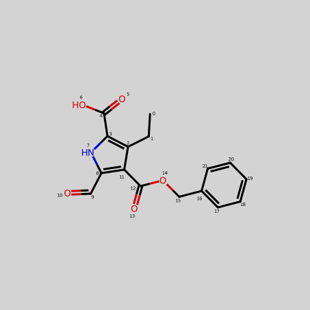 CCc1c(C(=O)O)[nH]c(C=O)c1C(=O)OCc1ccccc1